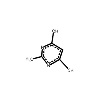 Cc1nc(O)cc(S)n1